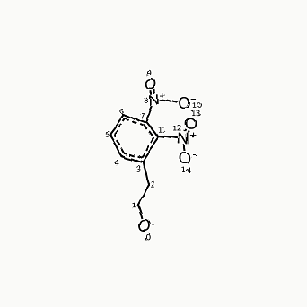 [O]CCc1cccc([N+](=O)[O-])c1[N+](=O)[O-]